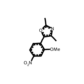 COc1cc([N+](=O)[O-])ccc1-c1oc(C)nc1C